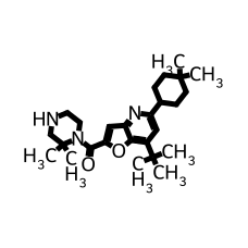 CC1(C)CCC(c2cc(C(C)(C)C)c3oc(C(=O)N4CCNCC4(C)C)cc3n2)CC1